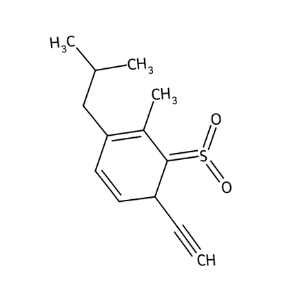 C#CC1C=CC(CC(C)C)=C(C)C1=S(=O)=O